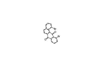 O=C1c2cccc(Br)c2C(=O)c2c1ccc1cccc(Br)c21